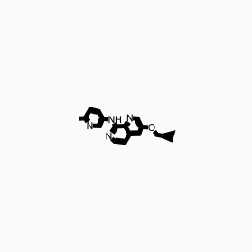 Cc1ccc(Nc2nccc3cc(OCC4CC4)cnc23)cn1